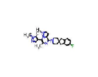 Cc1nc(N2CCC3(CC2)Cc2ccc(F)cc2C3)c2ccnn2c1-c1cnn(C)c1C